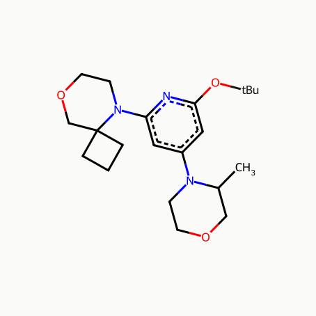 CC1COCCN1c1cc(OC(C)(C)C)nc(N2CCOCC23CCC3)c1